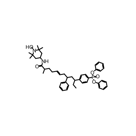 CCC(CC(C/C=C/CCC(C)C(=O)NC1CC(C)(C)N(O)C(C)(C)C1)c1ccccc1)c1ccc(P(=O)(Oc2ccccc2)Oc2ccccc2)cc1